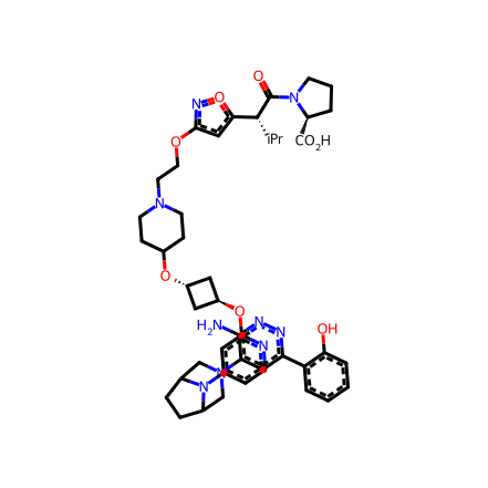 CC(C)[C@@H](C(=O)N1CCC[C@H]1C(=O)O)c1cc(OCCN2CCC(O[C@H]3C[C@H](Oc4cc(N5C6CCC5CN(c5cc(-c7ccccc7O)nnc5N)C6)ccn4)C3)CC2)no1